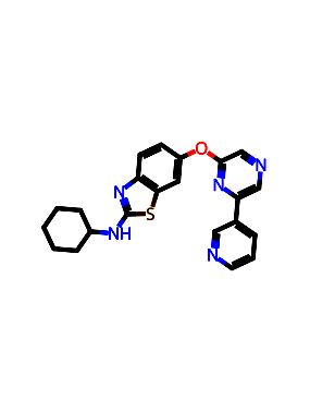 c1cncc(-c2cncc(Oc3ccc4nc(NC5CCCCC5)sc4c3)n2)c1